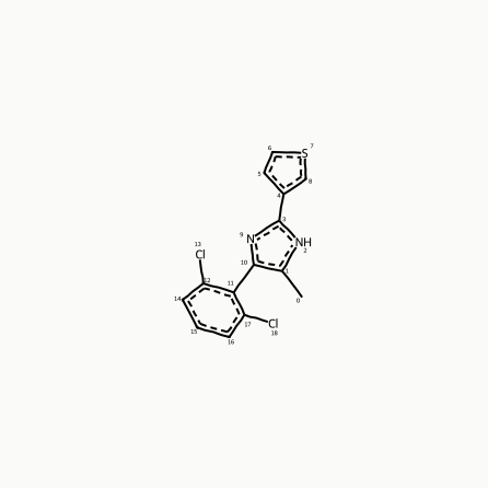 Cc1[nH]c(-c2ccsc2)nc1-c1c(Cl)cccc1Cl